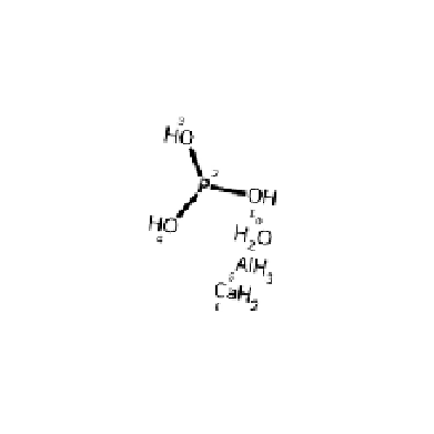 O.OP(O)O.[AlH3].[CaH2]